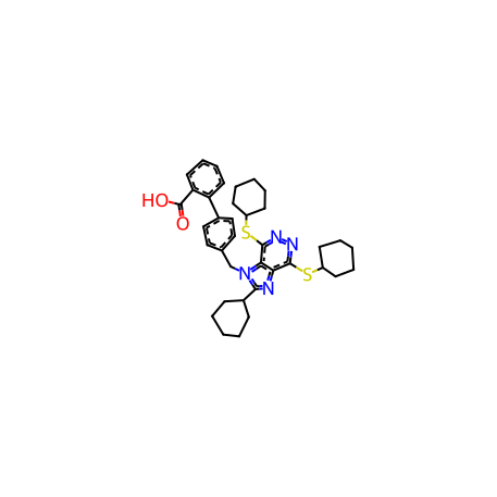 O=C(O)c1ccccc1-c1ccc(Cn2c(C3CCCCC3)nc3c(SC4CCCCC4)nnc(SC4CCCCC4)c32)cc1